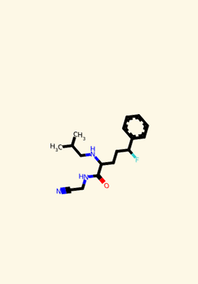 CC(C)CNC(CCC(F)c1ccccc1)C(=O)NCC#N